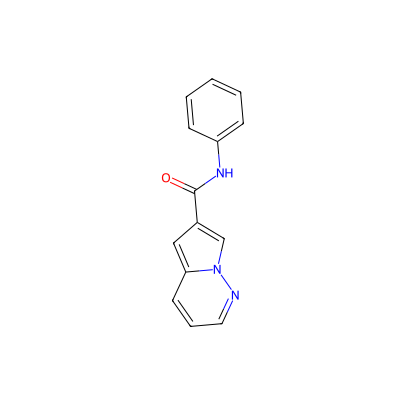 O=C(Nc1ccccc1)c1cc2cccnn2c1